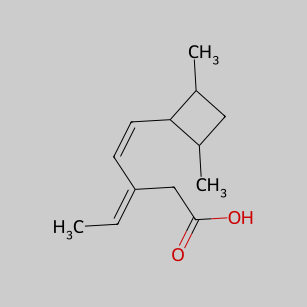 C/C=C(\C=C/C1C(C)CC1C)CC(=O)O